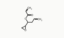 C=CCC(OC(=O)C=C)C1CO1